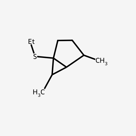 CCSC12CCC(C)C1C2C